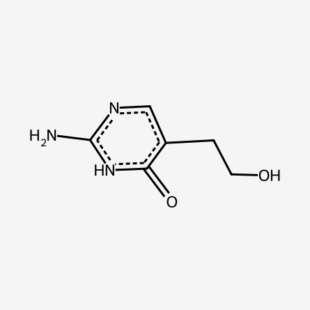 Nc1ncc(CCO)c(=O)[nH]1